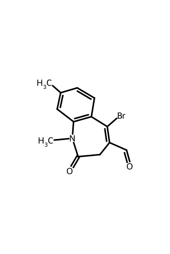 Cc1ccc2c(c1)N(C)C(=O)CC(C=O)=C2Br